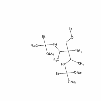 CCOCC(N)(C(C)PC(CC)(OC)OC)C(C)PC(CC)(OC)OC